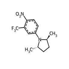 C[C@H]1CC[C@H](C)N1c1ccc([N+](=O)[O-])c(C(F)(F)F)c1